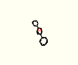 c1ccc(-c2cc3oc2cc3-c2ccccc2)cc1